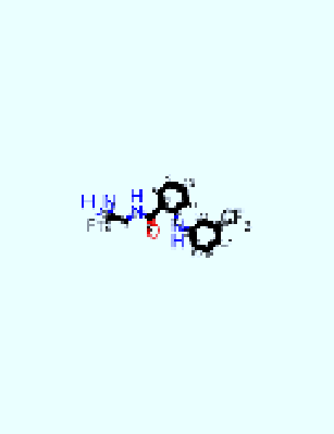 CCC(N)CNC(=O)c1ccccc1Nc1cccc(C(F)(F)F)c1